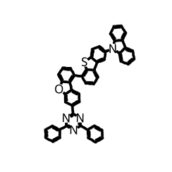 c1ccc(-c2nc(-c3ccccc3)nc(-c3ccc4c(c3)oc3cccc(-c5cccc6c5sc5ccc(-n7c8ccccc8c8ccccc87)cc56)c34)n2)cc1